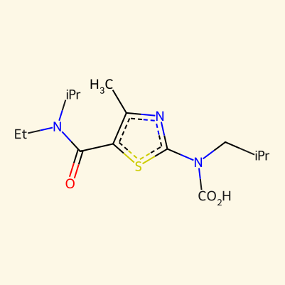 CCN(C(=O)c1sc(N(CC(C)C)C(=O)O)nc1C)C(C)C